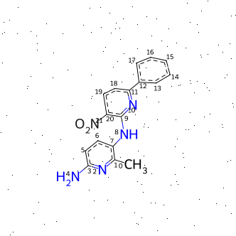 Cc1nc(N)ccc1Nc1nc(-c2ccccc2)ccc1[N+](=O)[O-]